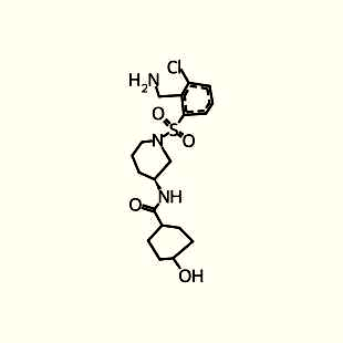 NCc1c(Cl)cccc1S(=O)(=O)N1CCC[C@H](NC(=O)C2CCC(O)CC2)C1